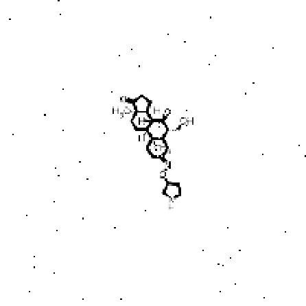 C[C@]12CC/C(=N\OC3CCNC3)CC1[C@@H](CO)C(=O)[C@@H]1[C@@H]2CC[C@]2(C)C(=O)CC[C@@H]12